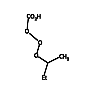 CCC(C)OOOC(=O)O